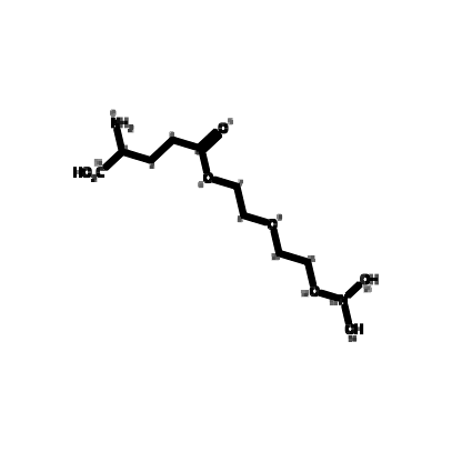 NC(CCC(=O)OCCOCCON(O)O)C(=O)O